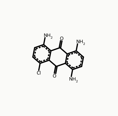 Nc1ccc(N)c2c1C(=O)c1c(N)ccc(Cl)c1C2=O